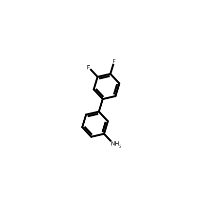 Nc1cccc(-c2ccc(F)c(F)c2)c1